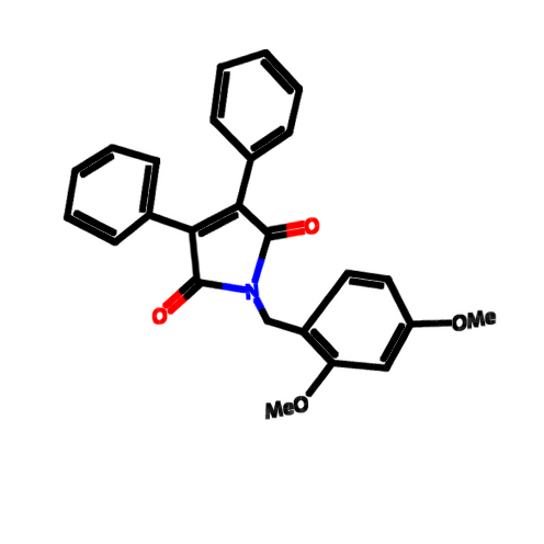 COc1ccc(CN2C(=O)C(c3ccccc3)=C(c3ccccc3)C2=O)c(OC)c1